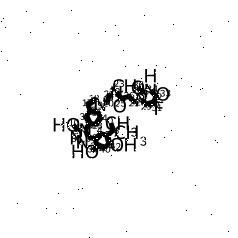 CC(C)c1cc(-c2nnc(O)n2-c2ccc3c(ccn3CCN(C)C(=O)CCn3cc(F)c(=O)[nH]c3=O)c2)c(O)cc1O